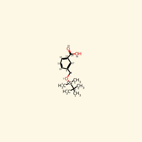 CC(C)(C)[Si](C)(C)OCc1cccc(C(=O)O)c1